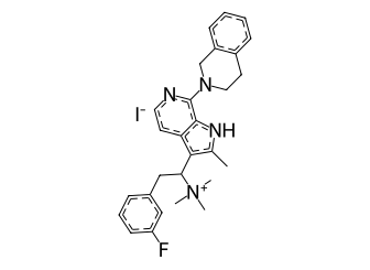 Cc1[nH]c2c(N3CCc4ccccc4C3)nccc2c1C(Cc1cccc(F)c1)[N+](C)(C)C.[I-]